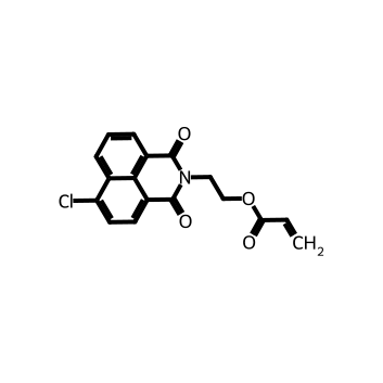 C=CC(=O)OCCN1C(=O)c2cccc3c(Cl)ccc(c23)C1=O